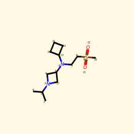 CC(C)N1CC(N(CCS(C)(=O)=O)C2CCC2)C1